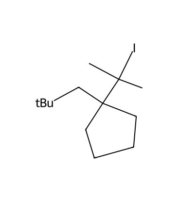 CC(C)(C)CC1(C(C)(C)I)CCCC1